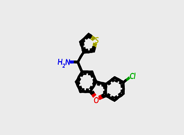 NC(c1ccsc1)c1ccc2oc3ccc(Cl)cc3c2c1